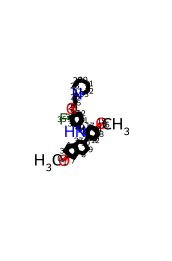 COc1ccc2c(c1)CCC(c1ccc(OC)cc1Nc1ccc(OCCN3CCCCCC3)c(F)c1)C2